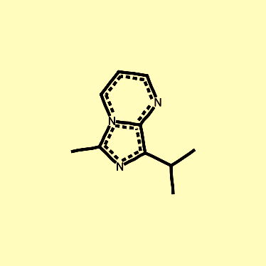 Cc1nc(C(C)C)c2ncccn12